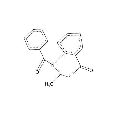 CC1CC(=O)c2ccccc2N1C(=O)c1ccccc1